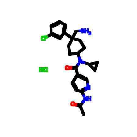 CC(=O)Nc1ccc(C(=O)N(C2CC2)C2CCC(CN)(c3cccc(Cl)c3)CC2)cn1.Cl